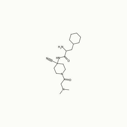 CN(C)CC(=O)N1CCC(C#N)(NC(=O)C(N)CC2CCCCC2)CC1